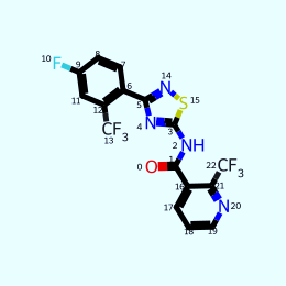 O=C(Nc1nc(-c2ccc(F)cc2C(F)(F)F)ns1)c1cccnc1C(F)(F)F